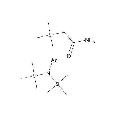 CC(=O)N([Si](C)(C)C)[Si](C)(C)C.C[Si](C)(C)CC(N)=O